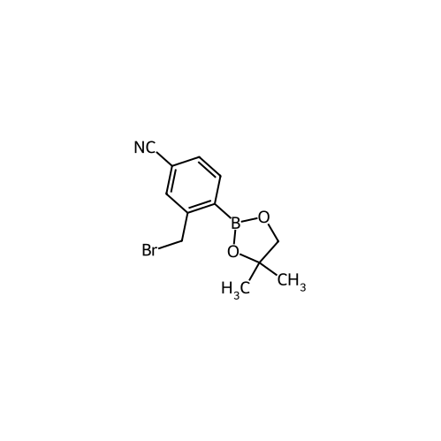 CC1(C)COB(c2ccc(C#N)cc2CBr)O1